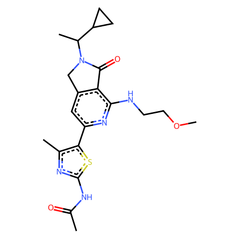 COCCNc1nc(-c2sc(NC(C)=O)nc2C)cc2c1C(=O)N(C(C)C1CC1)C2